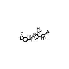 C[C@H](Nc1ncc(-c2cc(C3CC3)[nH]n2)c(N)n1)c1ccc2cc[nH]c2c1